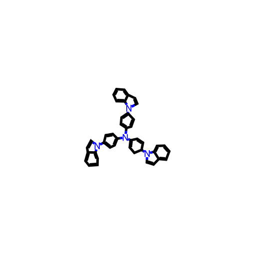 C1=CC(n2ccc3ccccc32)CC=C1N(c1ccc(-n2ccc3ccccc32)cc1)c1ccc(-n2ccc3ccccc32)cc1